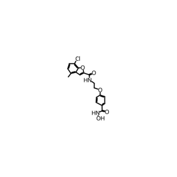 Cc1ccc(Cl)c2oc(C(=O)NCCOc3ccc(C(=O)NO)cc3)cc12